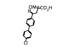 CON=C(CCC(=O)O)c1ccc(-c2ccc(Cl)cc2)cc1